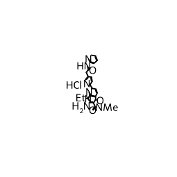 CCn1c(N)c(C(=O)NC)c(=O)c2ccc(-c3ccc(CC(=O)Nc4ccccn4)cn3)nc21.Cl